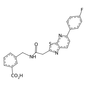 O=C(Cc1nc2ccc(-c3ccc(F)cc3)nc2s1)NCc1cccc(C(=O)O)c1